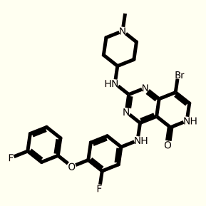 CN1CCC(Nc2nc(Nc3ccc(Oc4cccc(F)c4)c(F)c3)c3c(=O)[nH]cc(Br)c3n2)CC1